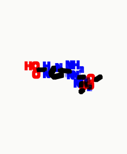 CCOP(=O)(C/C(N)=N/N=C(\N)c1ccc(NCC(=O)O)cn1)OCC